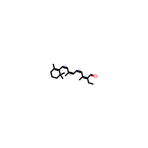 CC/C(C=O)=C(C)/C=C\C=C(C)/C=C\C1=C(C)CCCC1(C)C